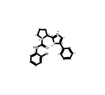 O=C(Nc1ccccc1Br)N1CCCC1c1ncc(-c2ccccc2)s1